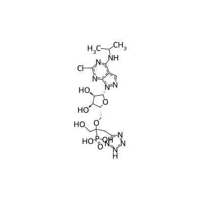 CC(C)Nc1nc(Cl)nc2c1cnn2[C@@H]1O[C@H](COC(CO)(Cc2nn[nH]n2)P(=O)(O)O)[C@@H](O)[C@H]1O